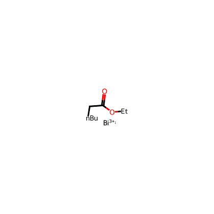 CCCCCC(=O)OCC.[Bi+3]